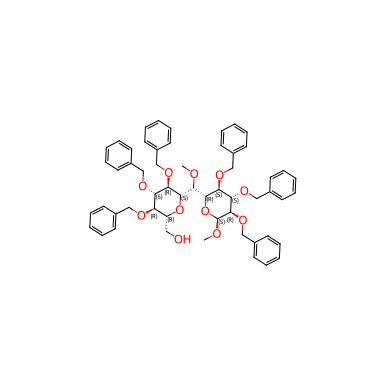 COC([C@H]1O[C@H](OC)[C@H](OCc2ccccc2)[C@@H](OCc2ccccc2)[C@@H]1OCc1ccccc1)[C@@H]1O[C@H](CO)[C@@H](OCc2ccccc2)[C@H](OCc2ccccc2)[C@H]1OCc1ccccc1